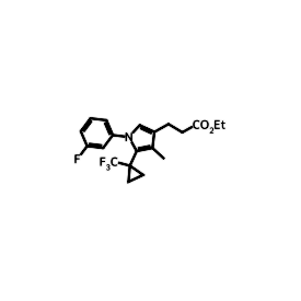 CCOC(=O)CCc1cn(-c2cccc(F)c2)c(C2(C(F)(F)F)CC2)c1C